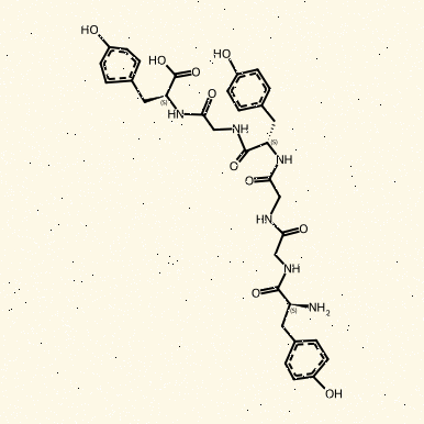 N[C@@H](Cc1ccc(O)cc1)C(=O)NCC(=O)NCC(=O)N[C@@H](Cc1ccc(O)cc1)C(=O)NCC(=O)N[C@@H](Cc1ccc(O)cc1)C(=O)O